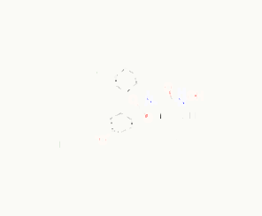 CC(C)C[C@H](C(=O)NO)N(Cc1ccc(Cl)cc1)S(=O)(=O)c1ccc(OCCCF)cc1